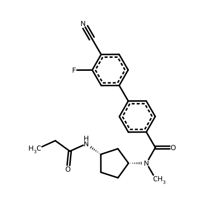 CCC(=O)N[C@H]1CC[C@@H](N(C)C(=O)c2ccc(-c3ccc(C#N)c(F)c3)cc2)C1